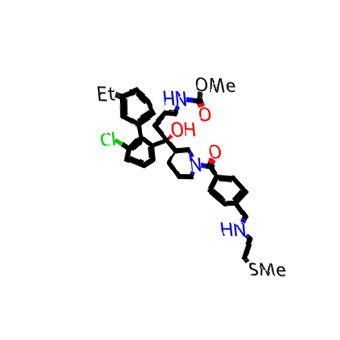 CCc1cccc(-c2c(Cl)cccc2[C@](O)(CCCNC(=O)OC)[C@@H]2CCCN(C(=O)c3ccc(CNCCSC)cc3)C2)c1